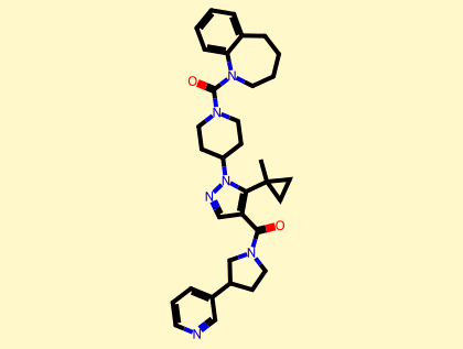 CC1(c2c(C(=O)N3CCC(c4cccnc4)C3)cnn2C2CCN(C(=O)N3CCCCc4ccccc43)CC2)CC1